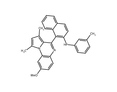 COc1ccc2nc(-c3c(Pc4cccc(C)c4)ccc4ccccc34)c3c(C)cc(C)n3c2c1